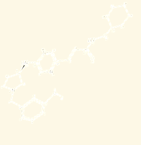 COc1cccc(CN2CC[C@@H](Nc3cnc(/C=C/C(=O)NOC4CCCCO4)cn3)C2)c1